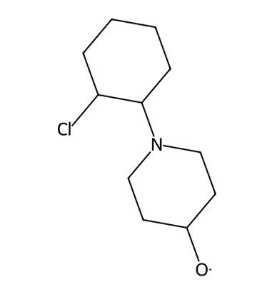 [O]C1CCN(C2CCCCC2Cl)CC1